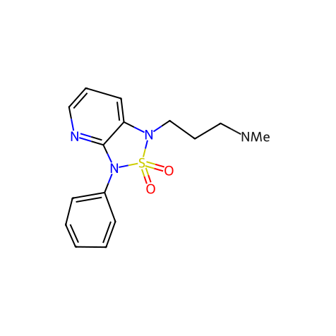 CNCCCN1c2cccnc2N(c2ccccc2)S1(=O)=O